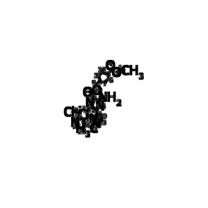 CCOC(=O)c1ccc(COC(=O)c2nc(-c3cc(Cl)c4ncccc4c3)c(-c3ccn(C)n3)nc2N)cc1